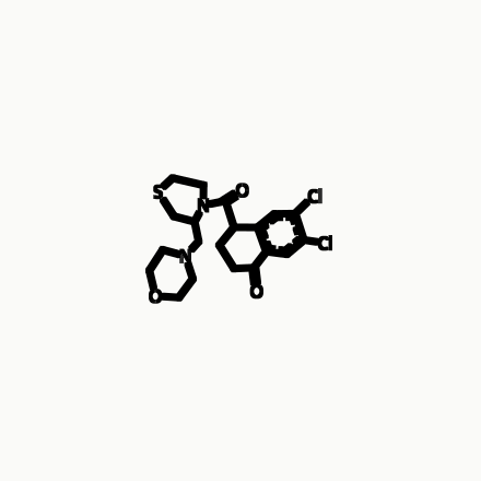 O=C1CCC(C(=O)N2CCSCC2CN2CCOCC2)c2cc(Cl)c(Cl)cc21